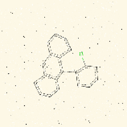 Clc1ccccc1-c1c2ccccc2cc2ccccc12